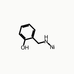 Oc1ccccc1C[NH][Ni]